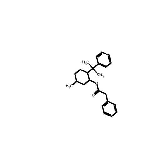 CC1CCC(C(C)(C)c2ccccc2)C(OC(=O)Cc2ccccc2)C1